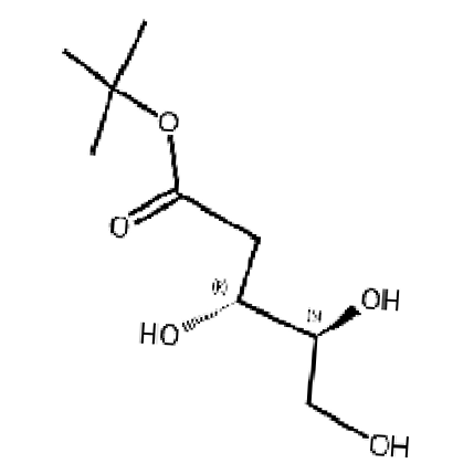 CC(C)(C)OC(=O)C[C@@H](O)[C@@H](O)CO